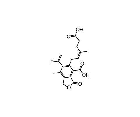 C=C(F)c1c(C)c2c(c(C(=O)O)c1CC=C(C)CCC(=O)O)C(=O)OC2